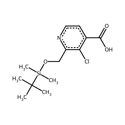 CC(C)(C)[Si](C)(C)OCc1nccc(C(=O)O)c1Cl